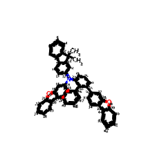 CC1(C)c2ccccc2-c2ccc(N(c3ccc4c(c3)oc3ccccc34)c3cccc(-c4ccc5c(c4)oc4ccccc45)c3-c3ccccc3)cc21